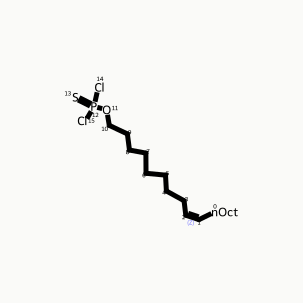 CCCCCCCC/C=C\CCCCCCCCOP(=S)(Cl)Cl